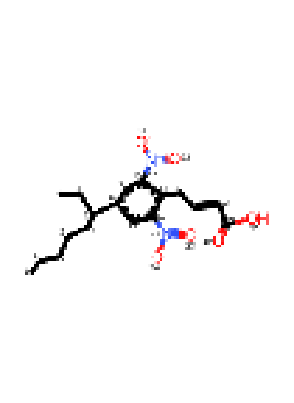 CCCCCC(CC)c1cc([N+](=O)[O-])c(C/C=C/C(=O)O)c([N+](=O)[O-])c1